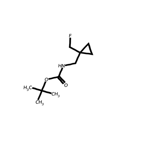 CC(C)(C)OC(=O)NCC1(CF)CC1